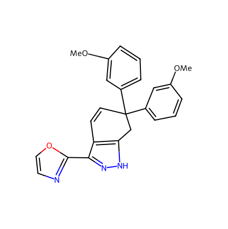 COc1cccc(C2(c3cccc(OC)c3)C=Cc3c(-c4ncco4)n[nH]c3C2)c1